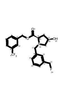 O=C(OCc1cccc(C(F)(F)F)c1)[C@H]1C[C@@H](O)CN1Cc1cccc(CF)c1